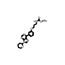 CC(C)(C)OC(=O)NCCCOc1cccc(-c2ncnc3c2ncn3C2CCCCO2)c1